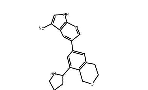 N#Cc1c[nH]c2ncc(-c3cc4c(c(C5CCCN5)c3)COCC4)cc12